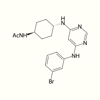 CC(=O)N[C@H]1CC[C@H](Nc2cc(Nc3cccc(Br)c3)ncn2)CC1